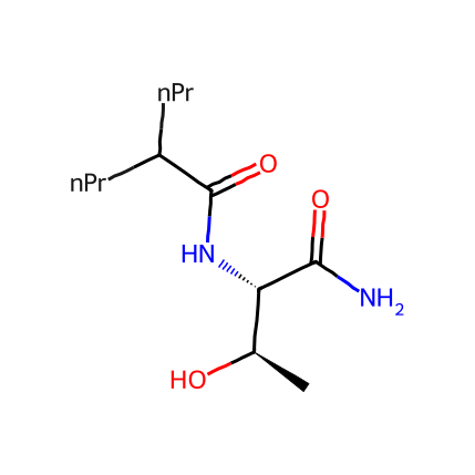 CCCC(CCC)C(=O)N[C@H](C(N)=O)[C@@H](C)O